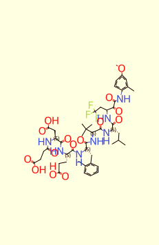 COc1ccc(NC(=O)C(=O)C(CC(F)(F)F)NC(=O)[C@H](CC(C)C)NC(=O)[C@@H](NC(=O)[C@H](Cc2ccccc2C)NC(=O)[C@H](CCC(=O)O)NC(=O)[C@H](CC(=O)O)NC(=O)CCC(=O)O)C(C)(C)C)c(C)c1